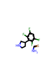 Fc1cc(F)c(F)c(C2CCNC2)c1F.NC=S